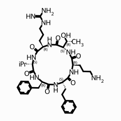 CC(C)[C@@H]1NC(=O)[C@@H](CCCNC(=N)N)NC(=O)[C@H]([C@@H](C)O)NC(=O)[C@@H](CCCN)NC(=O)[C@H](CCc2ccccc2)NC(=O)[C@@H](Cc2ccccc2)NC1=O